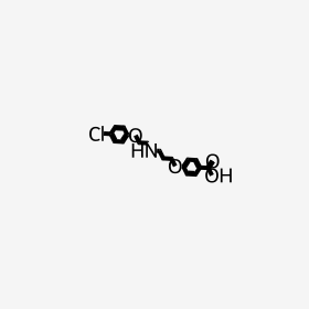 O=C(O)c1ccc(OCCCNCCOc2ccc(Cl)cc2)cc1